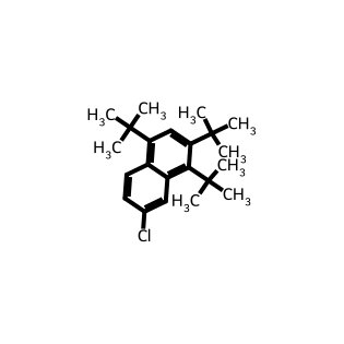 CC(C)(C)c1cc(C(C)(C)C)c2ccc(Cl)cc2c1C(C)(C)C